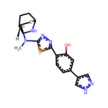 CN(c1nnc(-c2ccc(-c3cn[nH]c3)cc2O)s1)[C@H]1CC2CCC1CN2